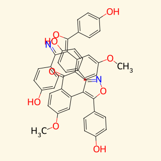 COc1ccc(C(=O)c2ccc(OC)cc2-c2c(-c3ccc(O)cc3)noc2-c2ccc(O)cc2)c(-c2c(-c3ccc(O)cc3)noc2-c2ccc(O)cc2)c1